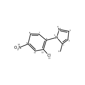 Cc1ccnn1-c1ccc([N+](=O)[O-])cc1Cl